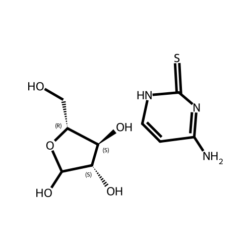 Nc1cc[nH]c(=S)n1.OC[C@H]1OC(O)[C@@H](O)[C@@H]1O